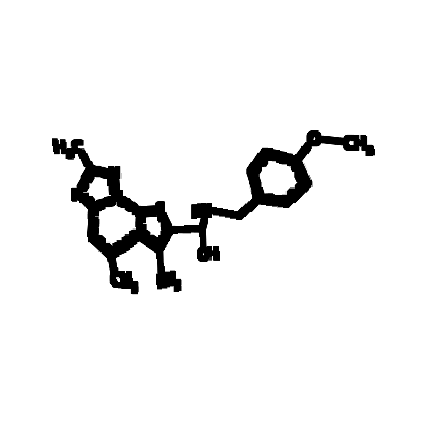 COc1ccc(CNC(O)c2sc3c(c(C)cc4nc(C)nn43)c2N)cc1